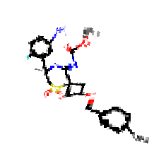 COc1ccc(COC2CC3(C2)/C(=N/C(=O)OC(C)(C)C)N[C@](C)(c2cc(N)ccc2F)CS3(=O)=O)cc1